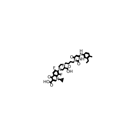 CCc1cc(Nc2cc(=O)n(CCCCN3CCN(c4c(F)cc5c(=O)c(C(=O)O)cn(C6CC6)c5c4F)CC3C(=O)O)c(=O)[nH]2)ccc1C